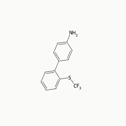 Nc1ccc(-c2ccccc2SC(F)(F)F)cc1